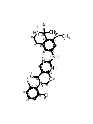 COc1cc(Nc2ncc3c(n2)OCN(c2c(F)cccc2Cl)C3=O)cc2c1C(C)(C)NCC2